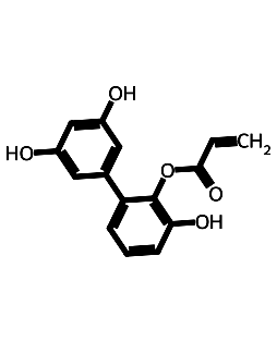 C=CC(=O)Oc1c(O)cccc1-c1cc(O)cc(O)c1